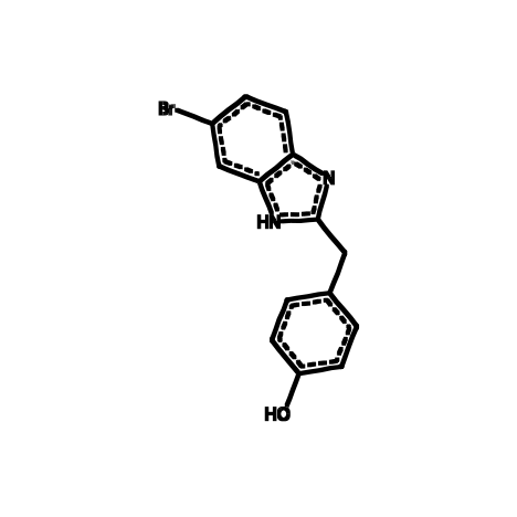 Oc1ccc(Cc2nc3ccc(Br)cc3[nH]2)cc1